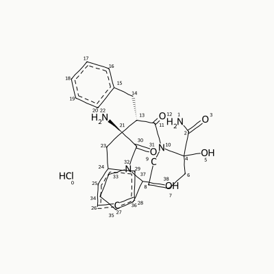 Cl.NC(=O)C1(O)CCCCN1C(=O)[C@@H](Cc1ccccc1)[C@@](N)(Cc1ccccc1)C(=O)N1CCCCC1O